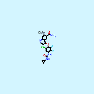 COc1cc2nccc(Oc3c(Cl)cc(NC(=O)NC4CC4)c(F)c3F)c2cc1C(N)=O